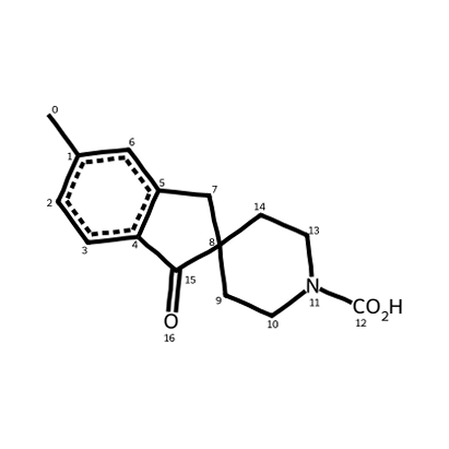 Cc1ccc2c(c1)CC1(CCN(C(=O)O)CC1)C2=O